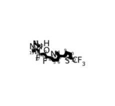 OC(C(F)c1ccc(-c2ccc(C(F)(F)F)s2)cn1)C(F)n1cnnn1